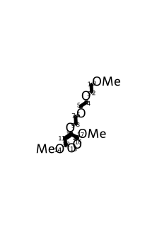 COCCOCCOCCO/C(=C/C(=O)OC)C(=O)OC